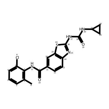 Cc1cccc(Cl)c1NC(=O)c1ccc2nc(NC(=O)NC3CC3)sc2c1